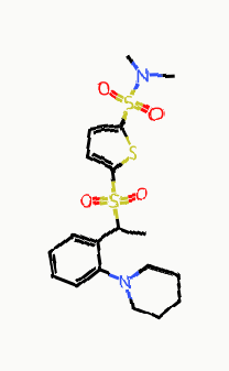 CC(c1ccccc1N1CCCCC1)S(=O)(=O)c1ccc(S(=O)(=O)N(C)C)s1